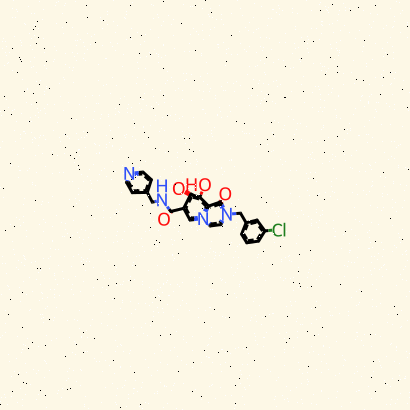 O=C(NCc1ccncc1)c1cn2ccn(Cc3cccc(Cl)c3)c(=O)c2c(O)c1=O